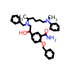 CC(CCCCN(C)c1ccccc1)N(Cc1ccccc1)CC(O)c1ccc(OCc2ccccc2)c(C(N)=O)c1